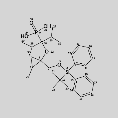 CC1CC1(CO[Si](c1ccccc1)(c1ccccc1)C(C)(C)C)OC(C(C)C)(C(C)C)P(=O)(O)O